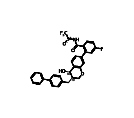 O=C(N[S+]([O-])C(F)(F)F)c1ccc(F)cc1-c1ccc2c(c1)OC[C@H](Cc1ccc(-c3ccccc3)cc1)[C@@H]2O